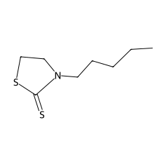 CCCCCN1CCSC1=S